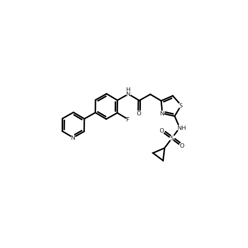 O=C(Cc1csc(NS(=O)(=O)C2CC2)n1)Nc1ccc(-c2cccnc2)cc1F